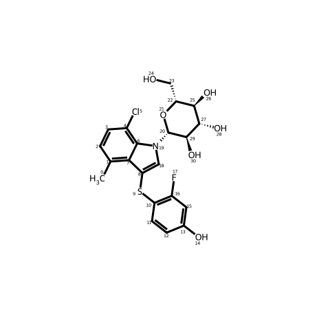 Cc1ccc(Cl)c2c1c(Sc1ccc(O)cc1F)cn2[C@@H]1O[C@H](CO)[C@@H](O)[C@H](O)[C@H]1O